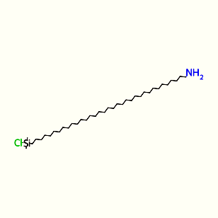 C[Si](C)(Cl)CCCCCCCCCCCCCCCCCCCCCCCCCCCCCCCCCCCN